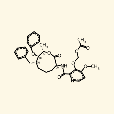 COc1ccnc(C(=O)N[C@H]2CCC[C@H](Cc3ccccc3)[C@@H](Oc3ccccc3)[C@H](C)OC2=O)c1OCOC(C)=O